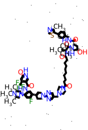 Cc1ncsc1-c1ccc(CNC(=O)[C@@H]2C[C@@H](O)CN2C(=O)C(NC(=O)CCCCCCCCC(=O)N2CCN(Cc3cnc(N4CC=C(c5cc(NC(=O)c6c[nH]c(=O)cc6C(F)(F)F)c(N6C[C@@H](C)N(C)[C@@H](C)C6)cc5F)CC4)nc3)CC2)C(C)(C)C)cc1